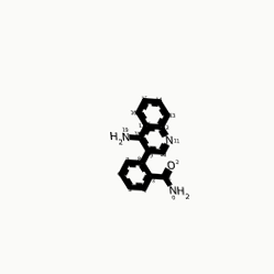 NC(=O)c1ccccc1-c1cnc2ccccc2c1N